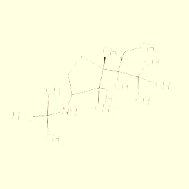 CCC(C)(C(C)(C)C)[C@@]1(C)CCC(NC(C)(C)C)C1(C)C